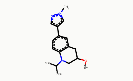 CCCCC(CCC)N1CC(OC(C)C)Cc2cc(-c3cnn(C)c3)ccc21